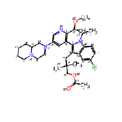 CCn1c(-c2cc(N3CCN4CCCCC4C3)cnc2[C@H](C)OC)c(CC(C)(C)COC(C)=O)c2cc(Br)ccc21